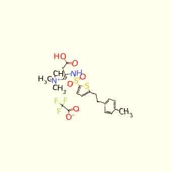 Cc1ccc(CCc2ccc(S(=O)(=O)NC(CC(=O)O)C[N+](C)(C)C)s2)cc1.O=C([O-])C(F)(F)F